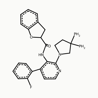 O=C(Nc1c(-c2ccccc2F)ccnc1N1CCC(P)(P)C1)C1Cc2ccccc2O1